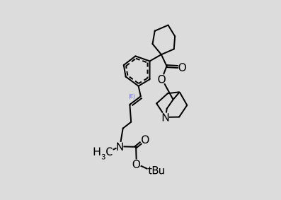 CN(CC/C=C/c1cccc(C2(C(=O)OC3CN4CCC3CC4)CCCCC2)c1)C(=O)OC(C)(C)C